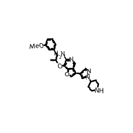 COc1cccc(CC(C)Oc2c(N)ncc3c(-c4cnn(C5CCNCC5)c4)coc23)c1